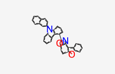 c1ccc2cc(-n3c4ccccc4c4c(-c5nc6c(ccc7oc8ccccc8c76)o5)cccc43)ccc2c1